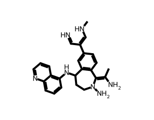 CN/C=C(\C=N)c1ccc2c(c1)C(Nc1cccc3ncccc13)CCN(N)/C2=C(/C)N